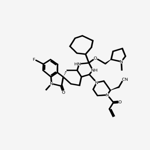 C=CC(=O)N1CCN(C2NC(OC[C@H]3CCCN3C)(C3CCCCCC3)NC3C[C@]4(CCC32)C(=O)N(C)c2cc(F)ccc24)C[C@H]1CC#N